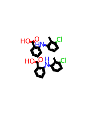 Cc1c(Cl)cccc1Nc1ccccc1C(=O)O.Cc1c(Cl)cccc1Nc1ccccc1C(=O)O